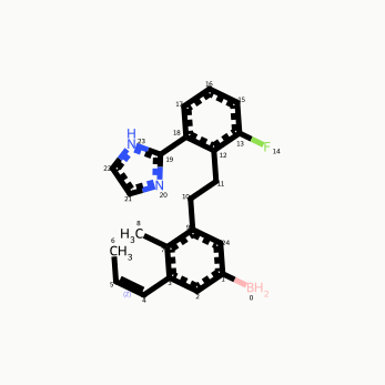 Bc1cc(/C=C\C)c(C)c(CCc2c(F)cccc2-c2ncc[nH]2)c1